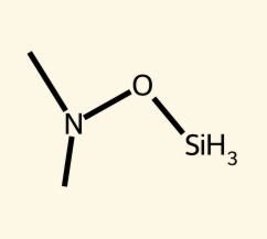 CN(C)O[SiH3]